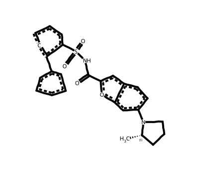 C[C@H]1CCCN1c1ccc2cc(C(=O)NS(=O)(=O)c3ccccc3-c3ccccc3)oc2c1